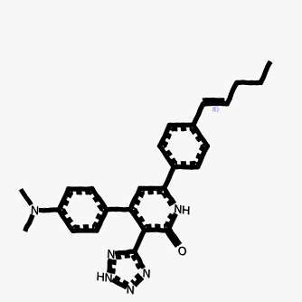 CCC/C=C/c1ccc(-c2cc(-c3ccc(N(C)C)cc3)c(-c3nn[nH]n3)c(=O)[nH]2)cc1